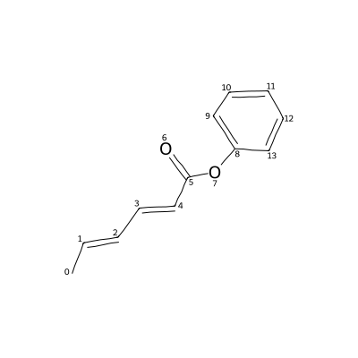 C/C=C/C=C/C(=O)Oc1ccccc1